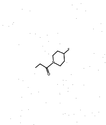 CCC(=O)N1CCC(F)CC1